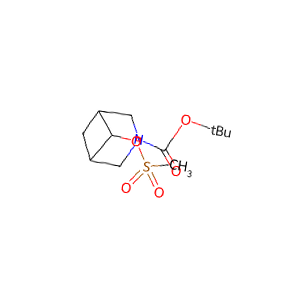 CC(C)(C)OC(=O)N1CC2CC(C1)C2OS(C)(=O)=O